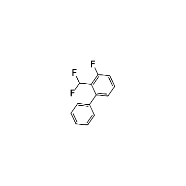 Fc1cccc(-c2ccccc2)c1C(F)F